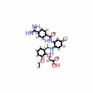 CCOc1cccc(CNc2ccc(Cl)cc2NC(=O)c2ccc(C(=N)N)cc2)c1OCC(=O)O